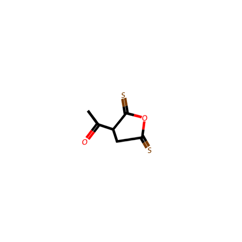 CC(=O)C1CC(=S)OC1=S